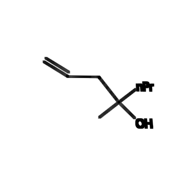 C=CCC(C)(O)CCC